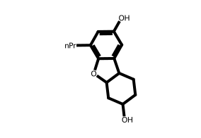 CCCc1cc(O)cc2c1OC1CC(O)CCC21